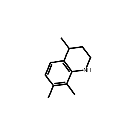 Cc1ccc2c(c1C)NCCC2C